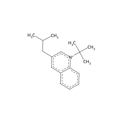 CC(C)Cc1cc2ccccc2[n+](C(C)(C)C)c1